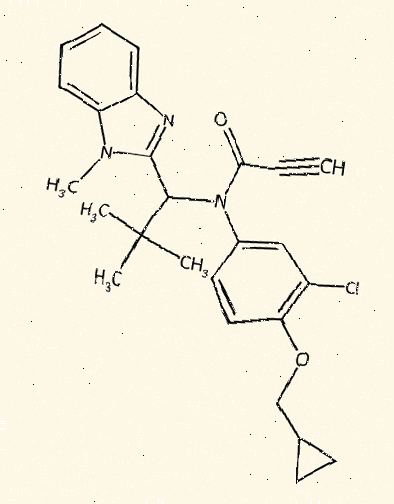 C#CC(=O)N(c1ccc(OCC2CC2)c(Cl)c1)C(c1nc2ccccc2n1C)C(C)(C)C